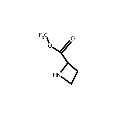 O=C(OC(F)(F)F)C1CCN1